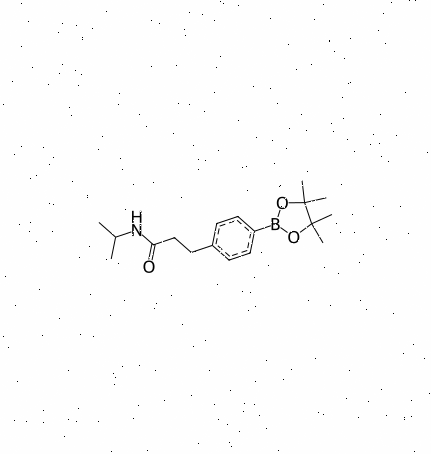 CC(C)NC(=O)CCc1ccc(B2OC(C)(C)C(C)(C)O2)cc1